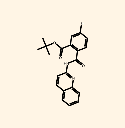 CC(C)(C)OC(=O)c1cc(Br)ccc1C(=O)Nc1ccc2ccccc2n1